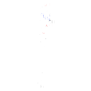 CC(C)CCCCCCCCCCCCCCCOCC(O)CN(NCCO)N(C)C